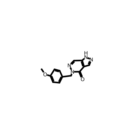 COc1ccc(Cn2ncc3[nH]ncc3c2=O)cc1